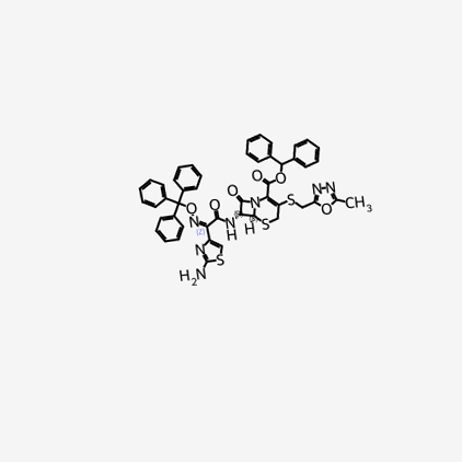 Cc1nnc(CSC2=C(C(=O)OC(c3ccccc3)c3ccccc3)N3C(=O)[C@@H](NC(=O)/C(=N\OC(c4ccccc4)(c4ccccc4)c4ccccc4)c4csc(N)n4)[C@@H]3SC2)o1